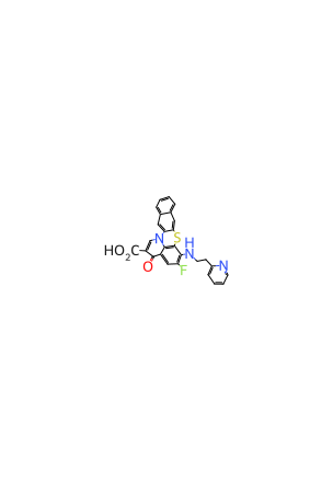 O=C(O)c1cn2c3c(c(NCCc4ccccn4)c(F)cc3c1=O)Sc1cc3ccccc3cc1-2